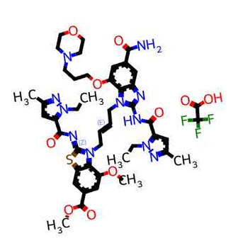 CCn1nc(C)cc1C(=O)/N=c1\sc2cc(C(=O)OC)cc(OC)c2n1C/C=C/Cn1c(NC(=O)c2cc(C)nn2CC)nc2cc(C(N)=O)cc(OCCCN3CCOCC3)c21.O=C(O)C(F)(F)F